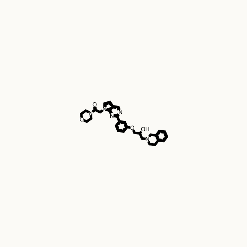 O=C(Cn1ccc2cnc(-c3cccc(OCC(O)CN4CCc5ccccc5C4)c3)nc21)N1CCOCC1